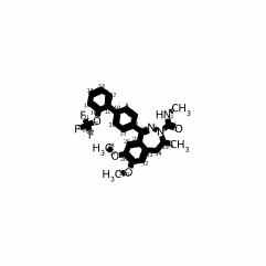 CNC(=O)N1N=C(c2ccc(-c3ccccc3OC(F)(F)F)cc2)c2cc(OC)c(OC)cc2CC1C